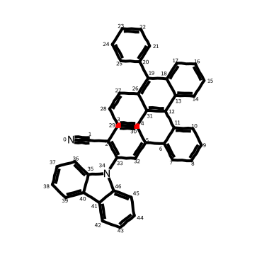 N#Cc1ccc(-c2ccccc2-c2c3ccccc3c(-c3ccccc3)c3ccccc23)cc1-n1c2ccccc2c2ccccc21